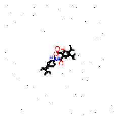 CCC(c1ccc(NC(=O)c2cc(C(C)C)c(C(C)C)cc2C(=O)O)cc1)C(C)C